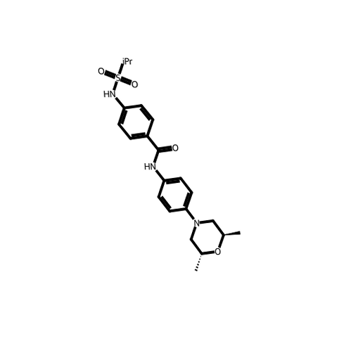 CC(C)S(=O)(=O)Nc1ccc(C(=O)Nc2ccc(N3C[C@@H](C)O[C@H](C)C3)cc2)cc1